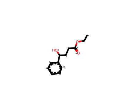 CCOC(=O)CCC(O)c1ccccc1